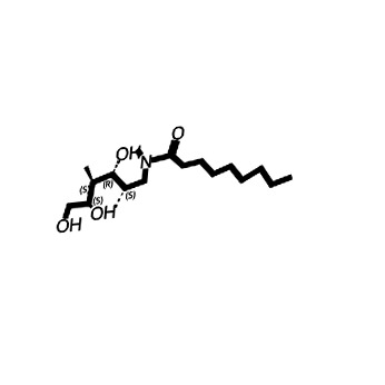 CCCCCCCCC(=O)N(C)C[C@H](C)[C@@H](O)[C@H](C)[C@H](O)CO